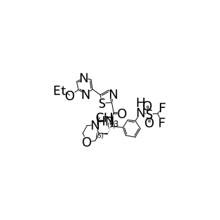 CCOc1cncc(-c2cnc(C(=O)N[C@@H](C[C@H]3COCCN3C)c3cccc(NS(=O)(=O)C(F)F)c3)s2)n1